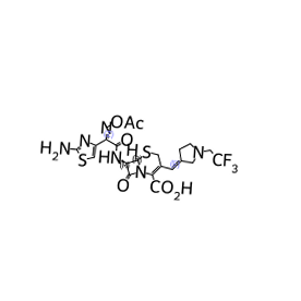 CC(=O)O/N=C(\C(=O)N[C@@H]1C(=O)N2C(C(=O)O)=C(/C=C3\CCN(CC(F)(F)F)C3)CS[C@H]12)c1csc(N)n1